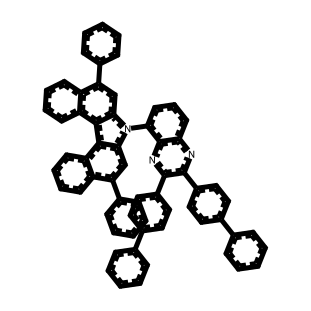 c1ccc(-c2ccc(-c3nc4cccc(-n5c6cc(-c7ccccc7)c7ccccc7c6c6c7ccccc7c(-c7ccccc7)cc65)c4nc3-c3ccc(-c4ccccc4)cc3)cc2)cc1